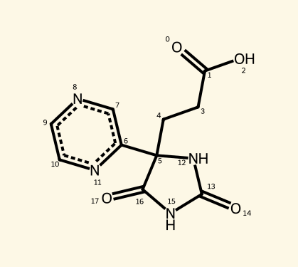 O=C(O)CCC1(c2cnccn2)NC(=O)NC1=O